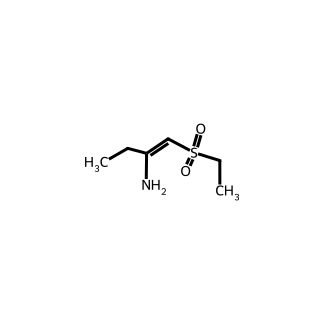 CCC(N)=CS(=O)(=O)CC